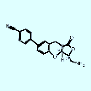 N#Cc1ccc(-c2ccc3c(c2)CN2C(=O)O[C@@H](CN)[C@@H]2O3)cc1